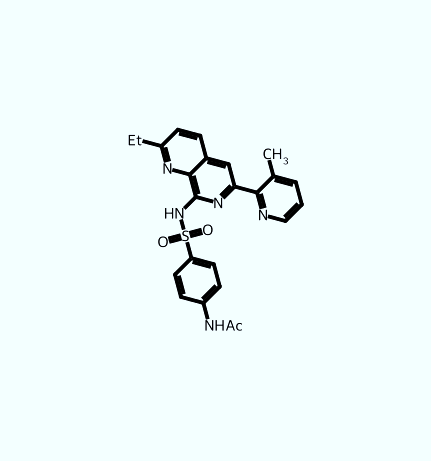 CCc1ccc2cc(-c3ncccc3C)nc(NS(=O)(=O)c3ccc(NC(C)=O)cc3)c2n1